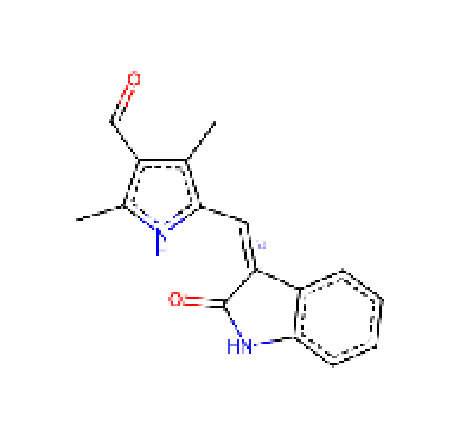 Cc1[nH]c(/C=C2\C(=O)Nc3ccccc32)c(C)c1C=O